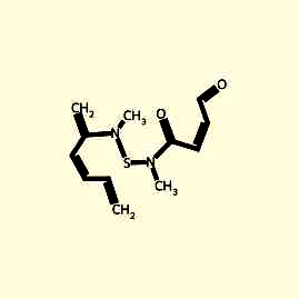 C=C/C=C\C(=C)N(C)SN(C)C(=O)/C=C\C=O